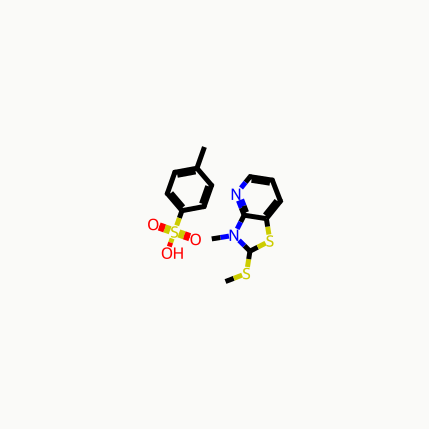 CSC1Sc2cccnc2N1C.Cc1ccc(S(=O)(=O)O)cc1